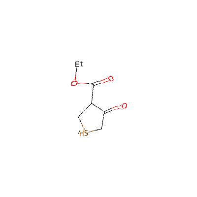 CCOC(=O)C1C[SH]CC1=O